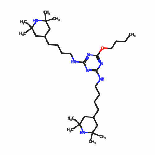 CCCCOc1nc(NCCCCC2CC(C)(C)NC(C)(C)C2)nc(NCCCCC2CC(C)(C)NC(C)(C)C2)n1